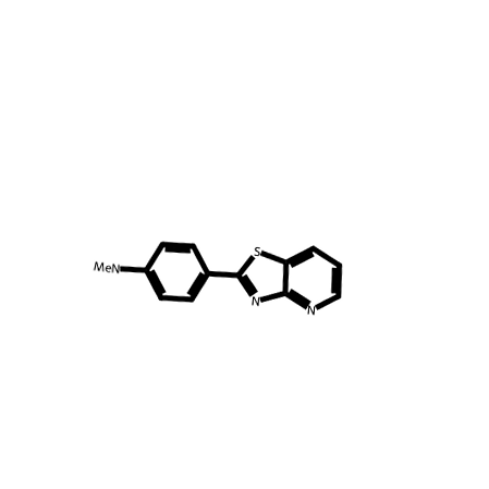 CNc1ccc(-c2nc3ncccc3s2)cc1